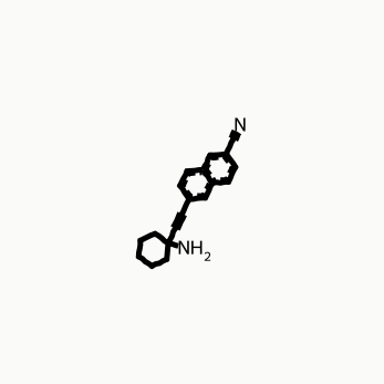 N#Cc1ccc2cc(C#CC3(N)CCCCC3)ccc2c1